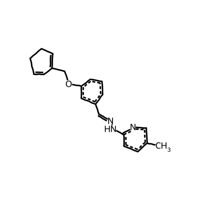 Cc1ccc(N/N=C/c2cccc(OCC3=CCCC=C3)c2)nc1